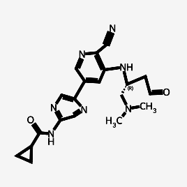 CN(C)C[C@@H](CC=O)Nc1cc(-c2cnc(NC(=O)C3CC3)cn2)cnc1C#N